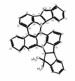 CC1(C)c2ccccc2C2c3cccc4c3N(c3cc5ccccc5c5c3B4n3c4c-5cccc4c4sc5ccccc5c43)C21